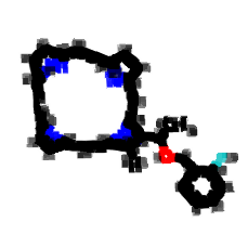 [2H]c1c(C(C)OCc2ccccc2F)c2cc3nc(cc4ccc(cc5nc(cc1[nH]2)C=C5)[nH]4)C=C3